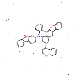 c1cc(-c2cccc3ccccc23)cc(N(c2ccc3c(c2)oc2ccccc23)c2ccccc2-c2cccc3c2oc2ccccc23)c1